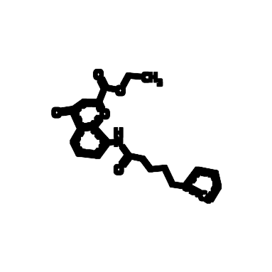 CCOC(=O)c1cc(=O)c2cccc(NC(=O)CCCCc3ccccc3)c2o1